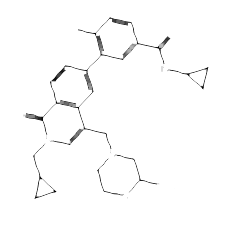 Cc1ccc(C(=O)NC2CC2)cc1-c1ccc2c(=O)n(CC3CC3)cc(CN3CCNC(C)C3)c2c1